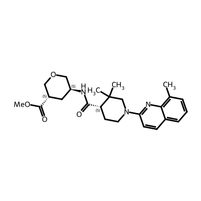 COC(=O)[C@@H]1COC[C@@H](NC(=O)[C@H]2CCN(c3ccc4cccc(C)c4n3)CC2(C)C)C1